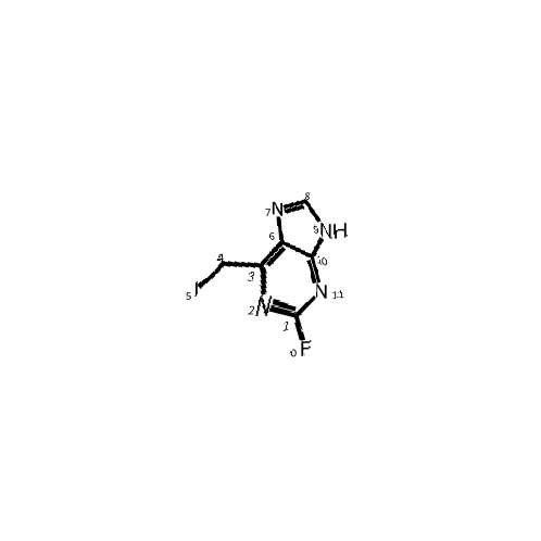 Fc1nc(CI)c2nc[nH]c2n1